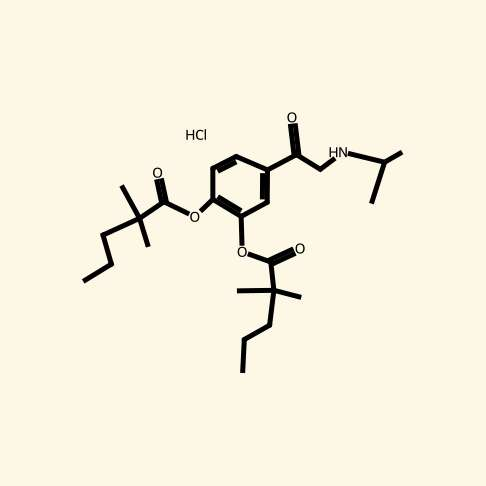 CCCC(C)(C)C(=O)Oc1ccc(C(=O)CNC(C)C)cc1OC(=O)C(C)(C)CCC.Cl